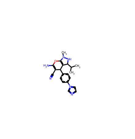 CC(C)C1NN(C)C2=C1C(c1ccc(-n3ccnc3)cc1)C(C#N)=C(N)O2